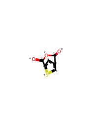 O=C1OC(=O)c2cc1cs2